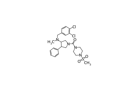 CN(Cc1ccc(Cl)c(Cl)c1)C1CN(C(=O)N2CCN(S(C)(=O)=O)CC2)CC1c1ccccc1